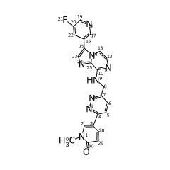 Cn1cc(-c2ccc(CNc3nccn4c(-c5cncc(F)c5)cnc34)nn2)ccc1=O